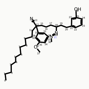 CCCCCCCCCCCCC(C#N)(CCCC(CCc1cccc(O)c1)/N=N/C)c1cccc(OC)c1